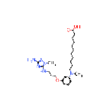 CN(CCCCCCCCCCC(=O)O)c1cccc(OCCCNc2nc(N)nn2C)c1